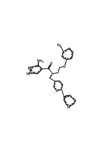 Nc1n[nH]cc1C(=O)N(CCOc1cccc(Cl)c1)Cc1ccc(-c2cccnc2)nc1